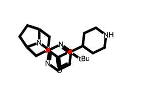 CC(C)(C)OC(=O)N1CC2CCC(C1)N2c1nccc(C2CCNCC2)n1